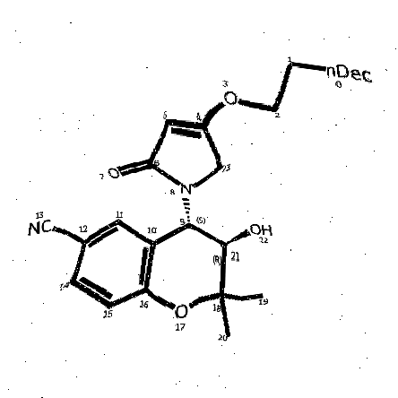 CCCCCCCCCCCCOC1=CC(=O)N([C@H]2c3cc(C#N)ccc3OC(C)(C)[C@@H]2O)C1